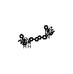 CCN(CC)[C@@H](C(=O)N1C2C(C)C2C[C@H]1c1nc2ccc(-c3ccc4cc(-c5ccc6nc([C@@H]7C[C@H]8C[C@H]8N7C(=O)[C@@H](c7ccccc7)N(CC)CC)[nH]c6c5)ccc4c3)cc2[nH]1)c1ccccc1